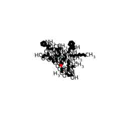 CCCCCCCC(C)C(=O)NC(Cc1c[nH]c2ccccc12)C(=O)NC(CC(N)=O)C(=O)NC(CC(=O)O)C(=O)NC(C(C)=O)C(C)OC(=O)C(CC(=O)c1ccccc1N)NC(=O)C(NC(=O)C(CO)NC(=O)CN1C(=O)CC(NC(=O)C(C)NC(=O)C(CC(=O)O)NC(=O)C(CCCN)NC(=O)CC)C1=O)C(C)CC(=O)O